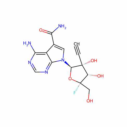 C#C[C@]1(O)[C@H](n2cc(C(N)=O)c3c(N)ncnc32)O[C@](F)(CO)[C@H]1O